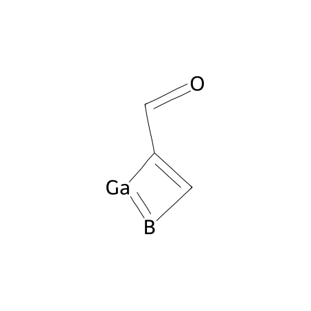 O=C[C]1=C[B]=[Ga]1